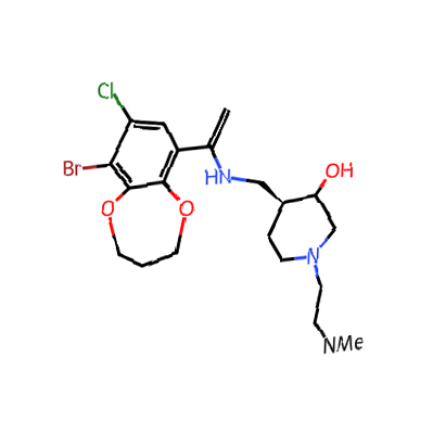 C=C(NC[C@@H]1CCN(CCNC)CC1O)c1cc(Cl)c(Br)c2c1OCCCO2